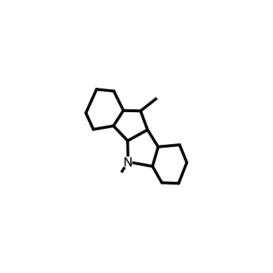 CC1C2CCCCC2C2C1C1CCCCC1N2C